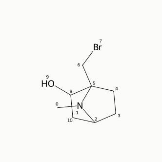 CN1C2CCC1(CBr)C(O)C2